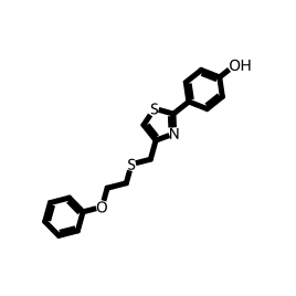 Oc1ccc(-c2nc(CSCCOc3ccccc3)cs2)cc1